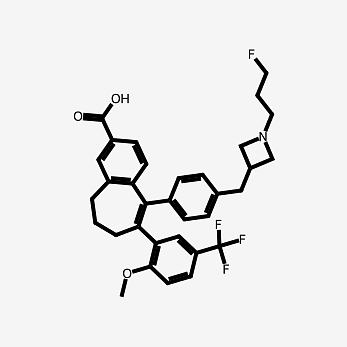 COc1ccc(C(F)(F)F)cc1C1=C(c2ccc(CC3CN(CCCF)C3)cc2)c2ccc(C(=O)O)cc2CCC1